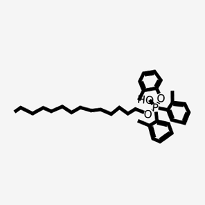 CCCCCCCCCCCCCCOP(O)(Oc1ccccc1C)(c1ccccc1C)c1ccccc1C